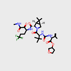 C=C(C)[C@H](NC(=O)N[C@H](C(=O)N1C[C@H]2[C@@H]([C@H]1C(=O)NC(CCC(F)(F)F)C(=O)C(=O)NC)C2(C)C)C(C)(C)C)C(=O)OC1CCOC1